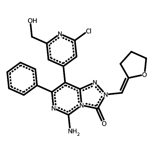 Nc1nc(-c2ccccc2)c(-c2cc(Cl)nc(CO)c2)c2nn(C=C3CCCO3)c(=O)n12